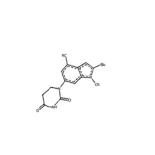 CC(C)(C)c1cc2c(C#N)cc(N3CCC(=O)NC3=O)cc2n1C#N